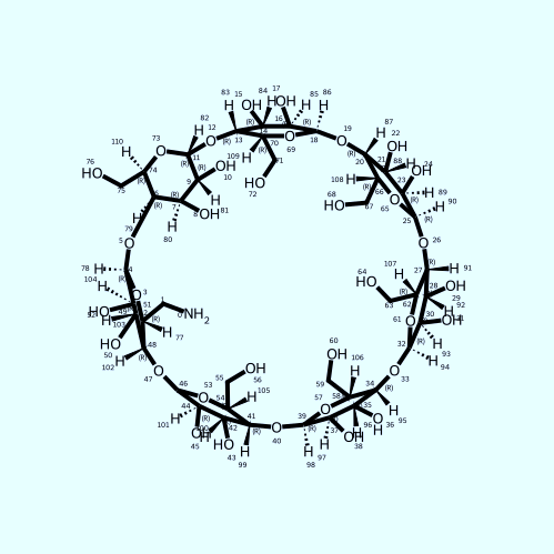 NC[C@H]1O[C@@H]2O[C@@H]3[C@H](O)[C@@H](O)[C@@H](O[C@@H]4[C@H](O)[C@@H](O)[C@@H](O[C@@H]5[C@H](O)[C@@H](O)[C@@H](O[C@@H]6[C@H](O)[C@@H](O)[C@@H](O[C@@H]7[C@H](O)[C@@H](O)[C@@H](O[C@@H]8[C@H](O)[C@@H](O)C(O[C@@H]1[C@H](O)[C@H]2O)O[C@@H]8CO)O[C@@H]7CO)O[C@@H]6CO)O[C@@H]5CO)O[C@@H]4CO)O[C@@H]3CO